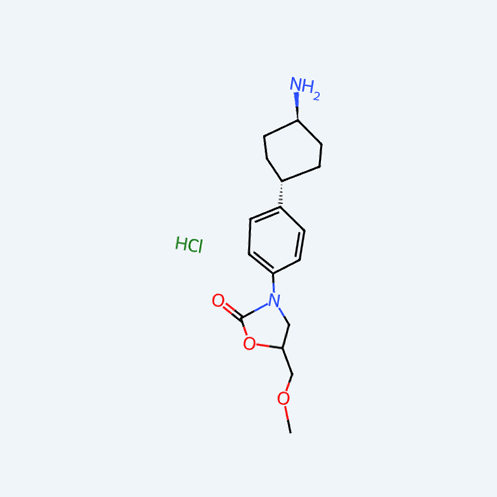 COCC1CN(c2ccc([C@H]3CC[C@H](N)CC3)cc2)C(=O)O1.Cl